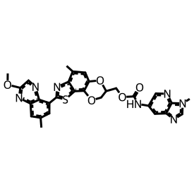 COc1cnc2c(-c3nc4c(C)cc5c(c4s3)OCC(COC(=O)Nc3cnc4c(c3)ncn4C)O5)cc(C)cc2n1